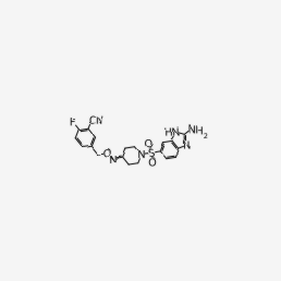 N#Cc1cc(CON=C2CCN(S(=O)(=O)c3ccc4nc(N)[nH]c4c3)CC2)ccc1F